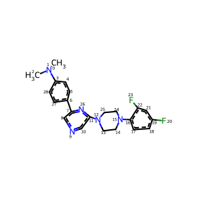 CN(C)c1ccc(-c2cncc(N3CCN(c4ccc(F)cc4F)CC3)n2)cc1